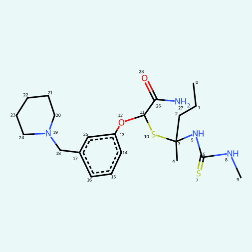 CCCC(C)(NC(=S)NC)SC(Oc1cccc(CN2CCCCC2)c1)C(N)=O